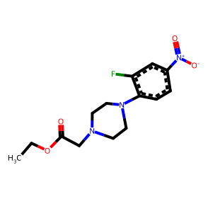 CCOC(=O)CN1CCN(c2ccc([N+](=O)[O-])cc2F)CC1